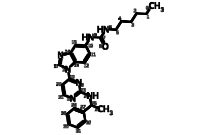 CCCCCCNC(=O)Nc1ccc2c(c1)ncn2-c1ccnc(NC(C)c2ccccc2)n1